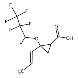 CC=CC1(OC(F)C(F)(F)C(F)(F)F)CC1C(=O)O